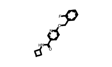 O=C(NC1CCC1)c1ccc(OCc2ccccc2F)nc1